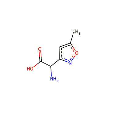 Cc1cc(C(N)C(=O)O)no1